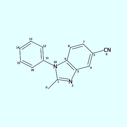 Cc1nc2cc(C#N)ccc2n1-c1ccccc1